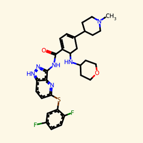 CN1CCC(C2=CC=C(C(=O)Nc3n[nH]c4ccc(Sc5cc(F)ccc5F)nc34)C(NC3CCOCC3)C2)CC1